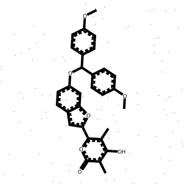 COc1ccc(C(Oc2ccc3cc(-c4oc(=O)c(C)c(O)c4C)oc3c2)c2ccc(OC)cc2)cc1